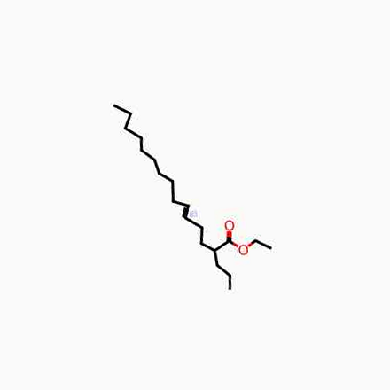 CCCCCCCCC/C=C/CCC(CCC)C(=O)OCC